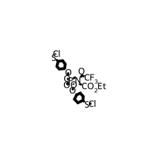 CCOC(=O)CN(CP(=O)(OOc1ccc(SCl)cc1)OOc1ccc(SCl)cc1)C(=O)C(F)(F)F